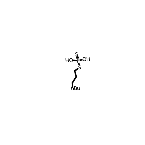 CCCCCCCSP(O)(O)=S